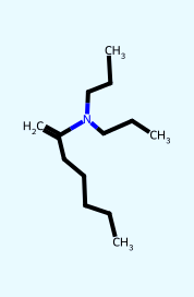 C=C(CCCCC)N(CCC)CCC